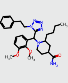 CCCCC1CC(C(N)=O)CCN1C(c1cccc(OC)c1OC)c1nnnn1CCc1ccccc1